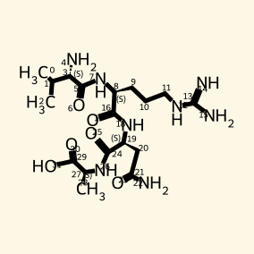 CC(C)[C@H](N)C(=O)N[C@@H](CCCNC(=N)N)C(=O)N[C@@H](CC(N)=O)C(=O)N[C@@H](C)C(=O)O